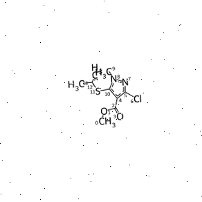 COC(=O)c1c(Cl)nn(C)c1SC(C)C